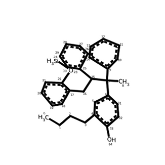 CCCCc1cc(C(C)(c2ccccc2)C(Cc2ccccc2O[SiH3])c2ccccc2)ccc1O